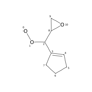 [O]OC(C1=CCCC1)C1CO1